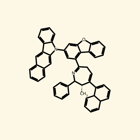 C[C@H]1C(C2=CC=CC3C=CC=CC23)=CCC(c2cc(-n3c4ccccc4c4cc5ccccc5cc43)cc3oc4ccccc4c23)=NC1c1ccccc1